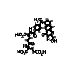 CN(c1ccc(C(=O)N[C@@H](CCC(=O)N[C@H](CCC(=O)O)C(=O)O)C(=O)O)cc1)C1CCc2cc3nc(CO)[nH]c(=O)c3cc21